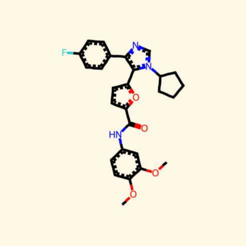 COc1ccc(NC(=O)c2ccc(-c3c(-c4ccc(F)cc4)ncn3C3CCCC3)o2)cc1OC